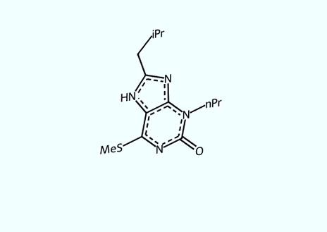 CCCn1c(=O)nc(SC)c2[nH]c(CC(C)C)nc21